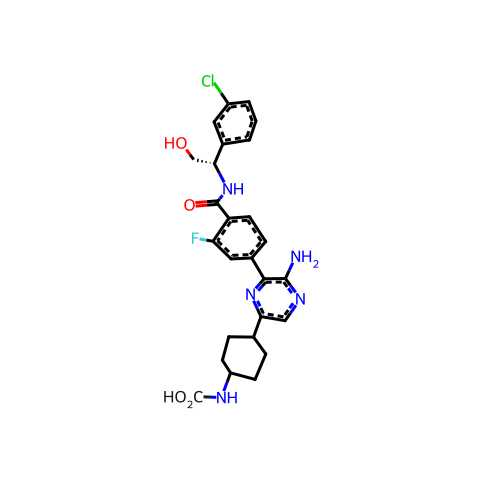 Nc1ncc(C2CCC(NC(=O)O)CC2)nc1-c1ccc(C(=O)N[C@H](CO)c2cccc(Cl)c2)c(F)c1